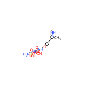 Cc1cc(C#Cc2ccc(OCCCNC(=O)C(CNC(=O)C(CN)S(=O)(=O)O)S(=O)(=O)O)cc2)cc(CNCI)n1